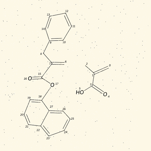 C=C(C)C(=O)O.C=C(Cc1ccccc1)C(=O)Oc1cccc2ccccc12